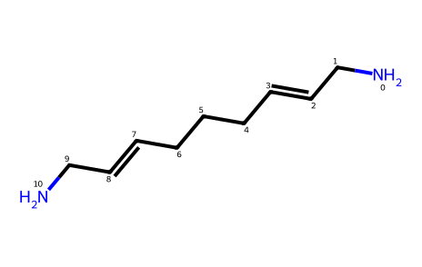 NC/C=C/CCC/C=C/CN